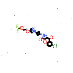 O=C1C[C@H](C(=O)NC23CC(n4cc(OCCOC(F)F)cn4)(C2)C3)Oc2ccc(Cl)cc21